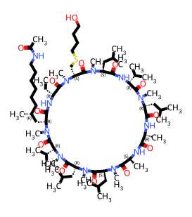 CC[C@H]1NC(=O)[C@@H](C[C@H](C)CCCCCCNC(C)=O)N(C)C(=O)[C@@H](C(C)C)N(C)C(=O)[C@@H](CC(C)C)N(C)C(=O)[C@H](CC(C)C)N(C)C(=O)[C@H](C)NC(=O)[C@@H](C)NC(=O)[C@@H](CC(C)C)N(C)C(=O)[C@@H](C(C)C)NC(=O)[C@H](CC(C)C)N(C)C(=O)[C@@H](CSCCCCO)N(C)C1=O